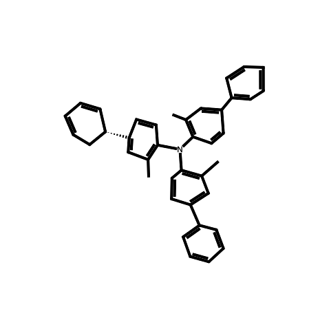 Cc1cc(-c2ccccc2)ccc1N(c1ccc(-c2ccccc2)cc1C)c1ccc([C@H]2C=CC=CC2)cc1C